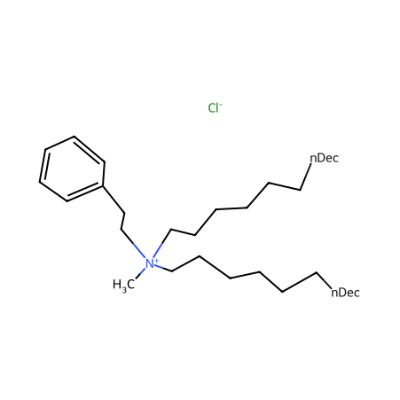 CCCCCCCCCCCCCCCC[N+](C)(CCCCCCCCCCCCCCCC)CCc1ccccc1.[Cl-]